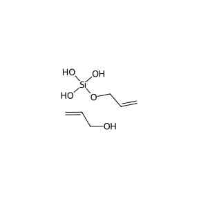 C=CCO.C=CCO[Si](O)(O)O